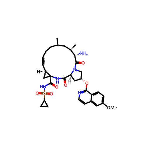 COc1ccc2c(O[C@@H]3C[C@H]4C(=O)N[C@]5(C(=O)NS(=O)(=O)C6CC6)C[C@H]5/C=C\CC[C@@H](C)C[C@@H](C)[C@H](N)C(=O)N4C3)nccc2c1